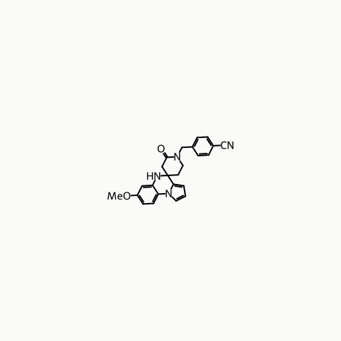 COc1ccc2c(c1)NC1(CCN(Cc3ccc(C#N)cc3)C(=O)C1)c1cccn1-2